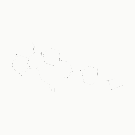 C=CCSc1ncccc1C(=O)N1CCN(CC(=O)N2CCN(C3CCC3)CC2)CC1